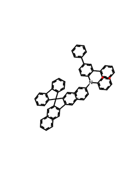 c1ccc(-c2ccc(N(c3ccccc3)c3ccc4cc5c(cc4c3)C3(c4ccccc4-c4ccccc43)c3cc4ccccc4cc3-5)c(-c3ccccc3)c2)cc1